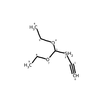 C#C[SiH2]C(OCC)OCC